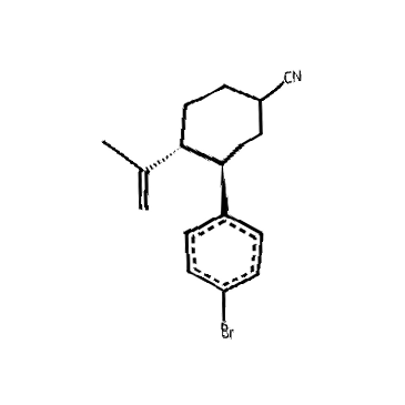 C=C(C)[C@@H]1CCC(C#N)C[C@H]1c1ccc(Br)cc1